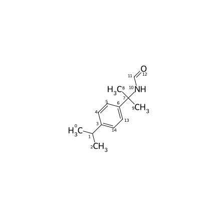 CC(C)c1ccc(C(C)(C)NC=O)cc1